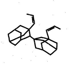 C/C=C\C12CC3CC(C1)CC(C1C4CC5CC(C4)CC1(/C=C\C)C5)(C3)C2